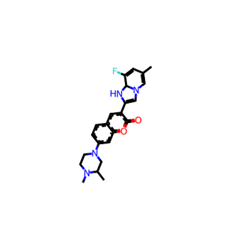 CC1=CN2C=C(c3cc4ccc(N5CCN(C)C(C)C5)cc4oc3=O)NC2C(F)=C1